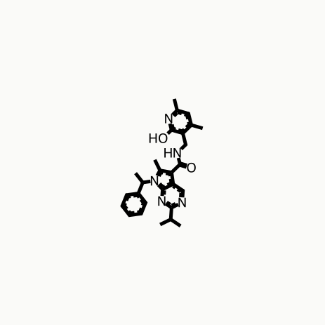 Cc1cc(C)c(CNC(=O)c2c(C)n(C(C)c3ccccc3)c3nc(C(C)C)ncc23)c(O)n1